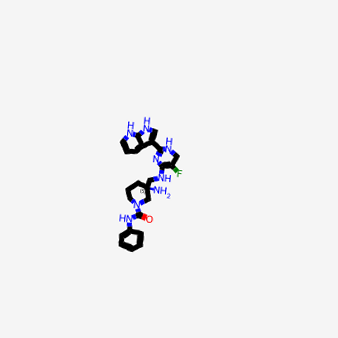 N[C@]1(CNC2=C(F)CNC(C3=CNC4NC=CC=C34)=N2)CCCN(C(=O)Nc2ccccc2)C1